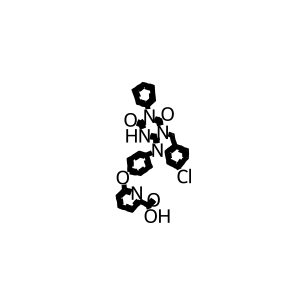 O=C(O)c1cccc(Oc2ccc(/N=c3\[nH]c(=O)n(-c4ccccc4)c(=O)n3Cc3ccc(Cl)cc3)cc2)n1